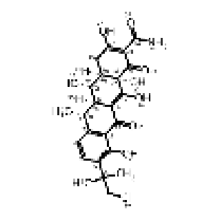 C[C@H]1c2ccc(C(C)(C)CCl)c(O)c2C(=O)C2=C(O)[C@]3(O)C(=O)C(C(N)=O)=C(O)C[C@@H]3[C@@H](O)[C@@H]21